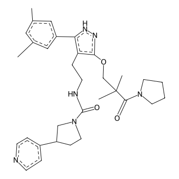 Cc1cc(C)cc(-c2[nH]nc(OCC(C)(C)C(=O)N3CCCC3)c2CCNC(=O)N2CCC(c3ccncc3)C2)c1